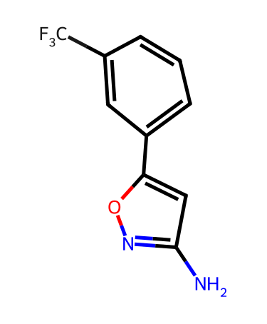 Nc1cc(-c2cccc(C(F)(F)F)c2)on1